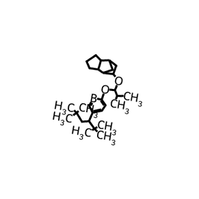 CC(C)C(Oc1bcc(C(CC(C)(C)C)C(C)(C)C)cc1)OC1CC2CC1C1CCCC21